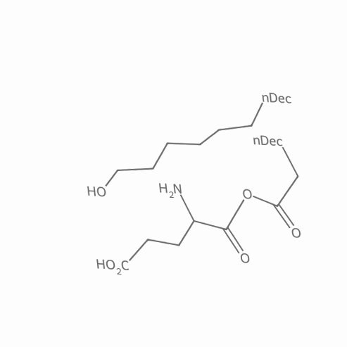 CCCCCCCCCCCC(=O)OC(=O)C(N)CCC(=O)O.CCCCCCCCCCCCCCCCO